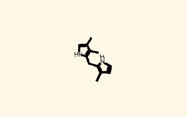 Cc1cc[nH]c1Cc1[nH]cc(C)c1C